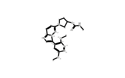 CNC(=O)OC1CCN(c2ccc3ncc(-c4cc(OC)nnc4OC)n3n2)C1